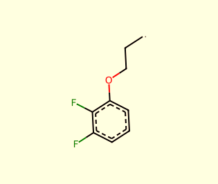 [CH2]CCOc1cccc(F)c1F